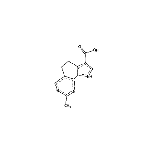 Cc1ncc2c(n1)-c1[nH]cc(C(=O)O)c1CC2